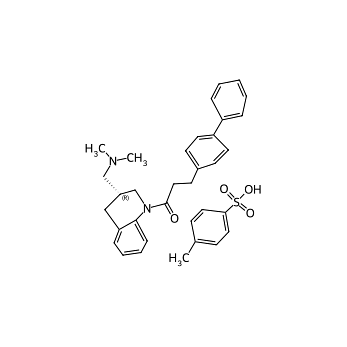 CN(C)C[C@H]1Cc2ccccc2N(C(=O)CCc2ccc(-c3ccccc3)cc2)C1.Cc1ccc(S(=O)(=O)O)cc1